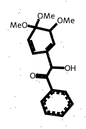 COC1C=C(C(O)C(=O)c2ccccc2)C=CC1(OC)OC